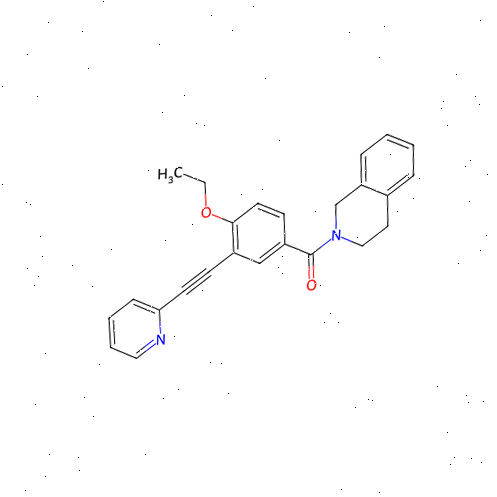 CCOc1ccc(C(=O)N2CCc3ccccc3C2)cc1C#Cc1ccccn1